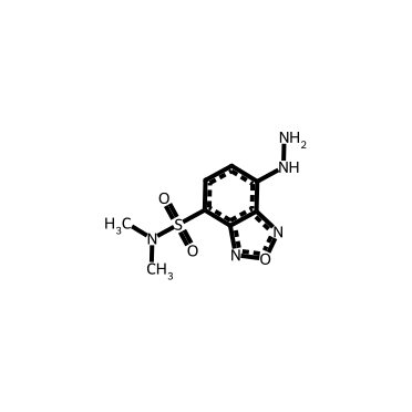 CN(C)S(=O)(=O)c1ccc(NN)c2nonc12